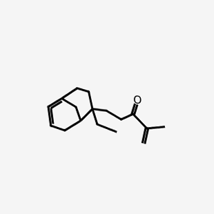 C=C(C)C(=O)CCC1(CC)CCC2=C=CCC1C2